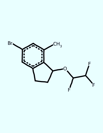 Cc1cc(Br)cc2c1C(OC(F)C(F)F)CC2